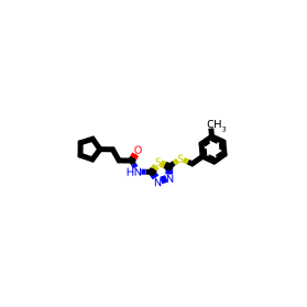 Cc1cccc(CSc2nnc(NC(=O)CCC3CCCC3)s2)c1